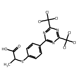 CC(Sc1ccc(-c2nc(C(Cl)(Cl)Cl)nc(C(Cl)(Cl)Cl)n2)cc1)C(=O)O